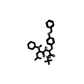 CC(C)CC(C(=O)N[C@@H](Cc1ccc(OCc2ccccc2)cc1)C(=O)NC(C)(C)C)N(C)C1CCCCC1